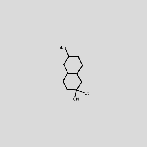 CCCCC1CCC2CC(C#N)(CC)CCC2C1